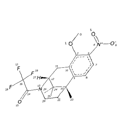 COc1c([N+](=O)[O-])ccc2c1C[C@H]1N(C(=O)C(F)(F)F)CC[C@]2(C)C1(C)C